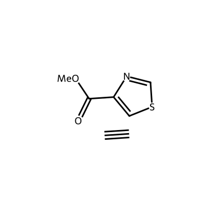 C#C.COC(=O)c1cscn1